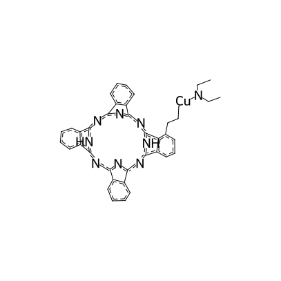 CC[N](CC)[Cu][CH2]CCc1cccc2c3nc4nc(nc5[nH]c(nc6nc(nc([nH]3)c12)-c1ccccc1-6)c1ccccc51)-c1ccccc1-4